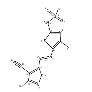 Cc1nc(NS(C)(=O)=O)sc1/N=N/c1snc(C)c1C#N